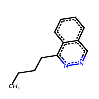 CCCCc1nncc2ccccc12